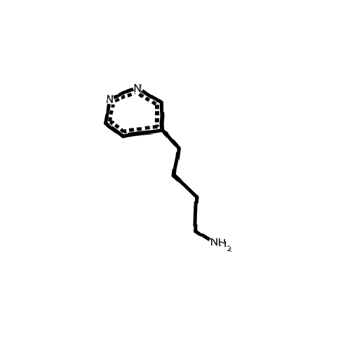 NCCCCc1ccnnc1